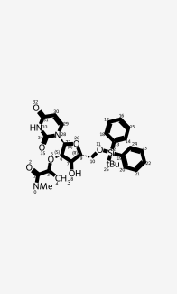 CNC(=O)C(C)O[C@H]1C(O)[C@@H](CO[Si](c2ccccc2)(c2ccccc2)C(C)(C)C)O[C@H]1n1ccc(=O)[nH]c1=O